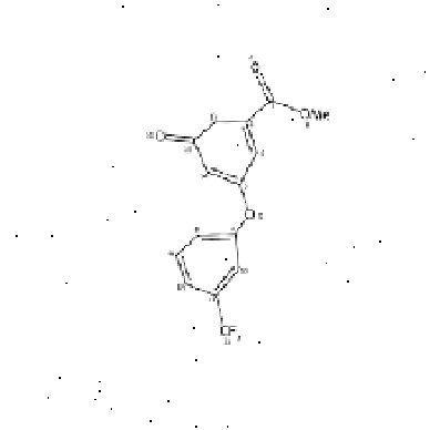 COC(=O)C1=CC(Oc2cccc(C(F)(F)F)c2)=CC(=O)C1